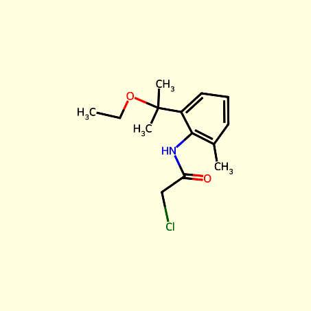 CCOC(C)(C)c1cccc(C)c1NC(=O)CCl